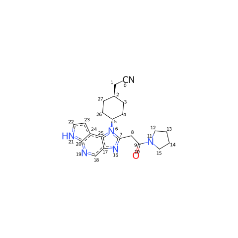 N#CC[C@H]1CC[C@@H](n2c(CC(=O)N3CCCC3)nc3cnc4[nH]ccc4c32)CC1